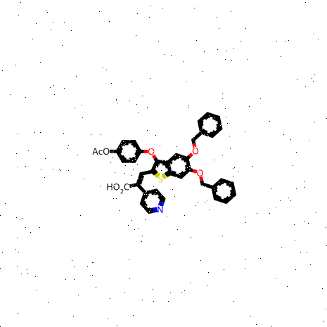 CC(=O)Oc1ccc(Oc2c(/C=C(/C(=O)O)c3ccncc3)sc3cc(OCc4ccccc4)c(OCc4ccccc4)cc23)cc1